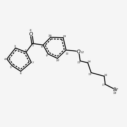 O=C(c1ccccc1)c1ccc(OCCCCCBr)cc1